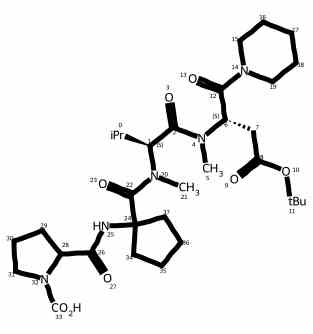 CC(C)[C@@H](C(=O)N(C)[C@@H](CC(=O)OC(C)(C)C)C(=O)N1CCCCC1)N(C)C(=O)C1(NC(=O)C2CCCN2C(=O)O)CCCC1